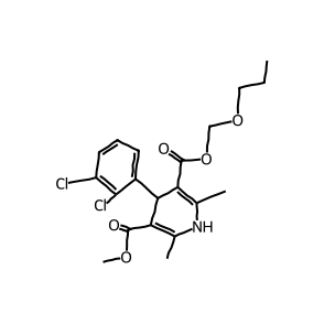 CCCOCOC(=O)C1=C(C)NC(C)=C(C(=O)OC)C1c1cccc(Cl)c1Cl